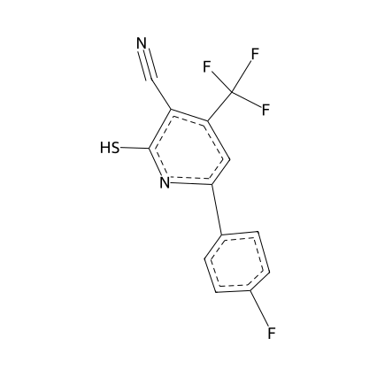 N#Cc1c(C(F)(F)F)cc(-c2ccc(F)cc2)nc1S